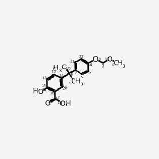 COCOc1ccc(C(C)(C)c2ccc(O)c(C(=O)O)c2)cc1